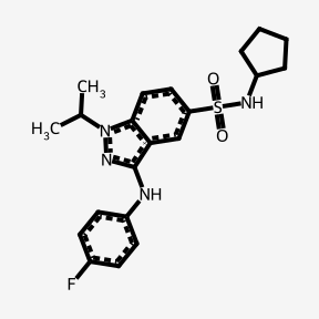 CC(C)n1nc(Nc2ccc(F)cc2)c2cc(S(=O)(=O)NC3CCCC3)ccc21